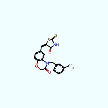 O=C1NC(=S)SC1=Cc1ccc2c(c1)N(Cc1cccc(C(F)(F)F)c1)C(=O)CO2